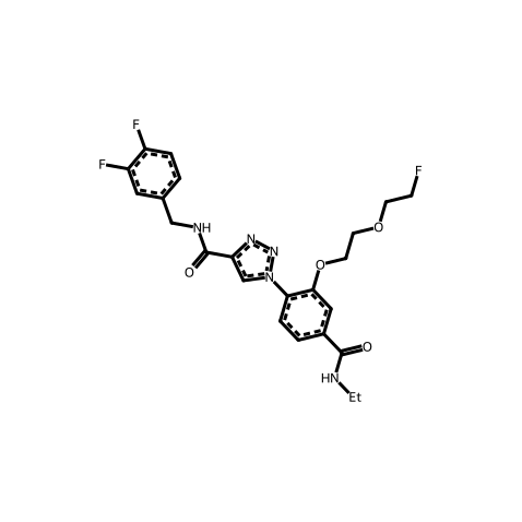 CCNC(=O)c1ccc(-n2cc(C(=O)NCc3ccc(F)c(F)c3)nn2)c(OCCOCCF)c1